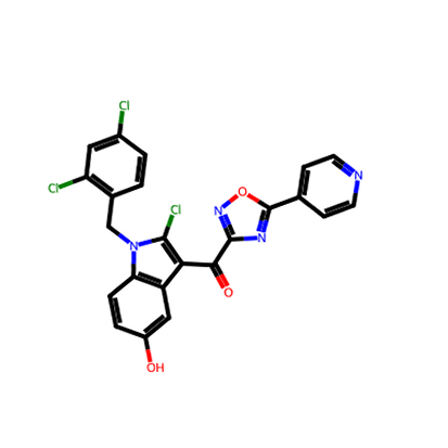 O=C(c1noc(-c2ccncc2)n1)c1c(Cl)n(Cc2ccc(Cl)cc2Cl)c2ccc(O)cc12